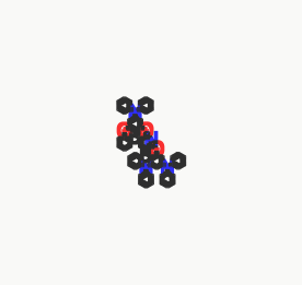 C1=CCC(N(C2=CC3=C4B(c5cc6c(nc5O3)Oc3cc(N(c5ccccc5)c5ccccc5)cc5c3B6C3=C(C=CCC3)O5)C3C=CC=CC3N(c3ccccc3)C4C2)c2ccccc2)C=C1